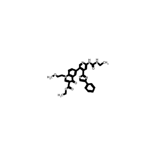 CCNC(=O)Nc1cc(-c2nc(-c3ccccc3)cs2)c(-c2ccc3c(c2)c(=O)c(C(=O)OCC)cn3CCOC)cn1